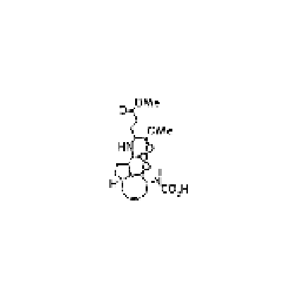 COC(=O)CC[C@H](NC(=O)[C@@H]1CC[C@@H]2C/C=C\C[C@H](NC(=O)O)C(=O)N21)C(=O)OC